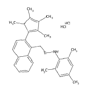 CC1=C(C)C(C)C(c2ccc3ccccc3c2[CH2][Ti][NH]c2c(C)cc(C)cc2C)=C1C.Cl.Cl